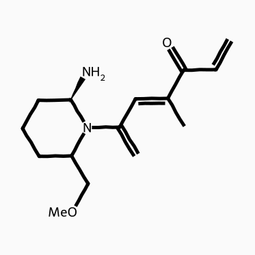 C=CC(=O)/C(C)=C/C(=C)N1C(COC)CCC[C@H]1N